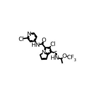 CC(NSc1c(Cl)c(C(=O)Nc2ccnc(Cl)c2)n2c1C=CC2)OC(F)(F)F